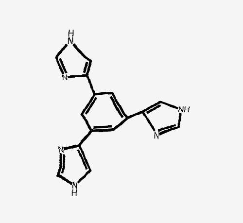 c1nc(-c2cc(-c3c[nH]cn3)cc(-c3c[nH]cn3)c2)c[nH]1